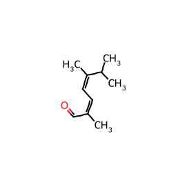 CC(C=O)=CC=C(C)C(C)C